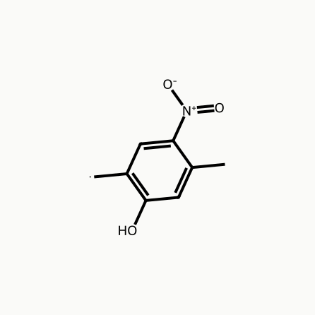 [CH2]c1cc([N+](=O)[O-])c(C)cc1O